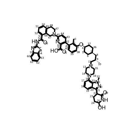 Cc1c(O[C@H]2CC[C@H](C[C@H](C)CN3CCN(c4cccc5c(C6CCC(O)NC6=O)nn(C)c45)CC3)CC2)cccc1-c1ccc(N2CCc3cccc(C(=O)Nc4nc5ccccc5s4)c3C2)nc1C(=O)O